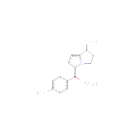 Cc1ccc(C(=O)c2ccc3n2CCC3C(=O)O)cc1.[MgH2]